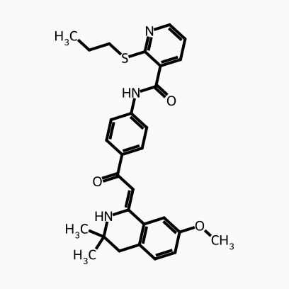 CCCSc1ncccc1C(=O)Nc1ccc(C(=O)C=C2NC(C)(C)Cc3ccc(OC)cc32)cc1